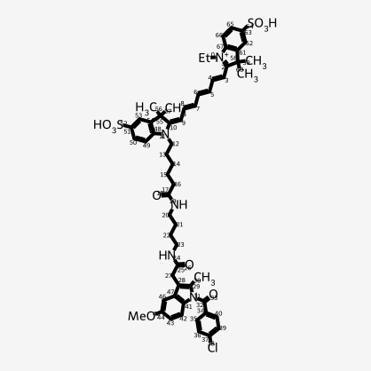 CC[N+]1=C(/C=C/C=C/C=C/C=C2/N(CCCCCC(=O)NCCCCNC(=O)Cc3c(C)n(C(=O)c4ccc(Cl)cc4)c4ccc(OC)cc34)c3ccc(S(=O)(=O)O)cc3C2(C)C)C(C)(C)c2cc(S(=O)(=O)O)ccc21